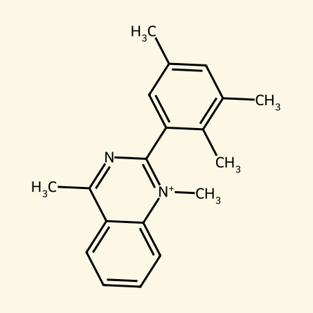 Cc1cc(C)c(C)c(-c2nc(C)c3ccccc3[n+]2C)c1